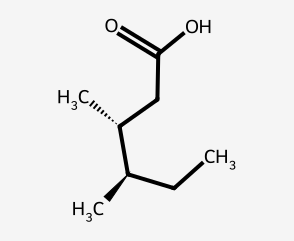 CC[C@@H](C)[C@H](C)CC(=O)O